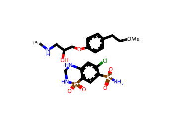 COCCc1ccc(OCC(O)CNC(C)C)cc1.NS(=O)(=O)c1cc2c(cc1Cl)NCNS2(=O)=O